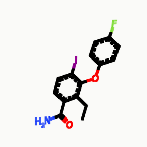 CCc1c(C(N)=O)ccc(I)c1Oc1ccc(F)cc1